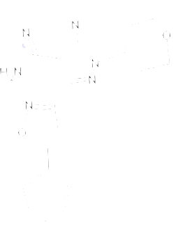 C=Nc1c(/C(N)=N\C)c(-c2cc(-c3ccccc3)on2)nn1C1CCOCC1